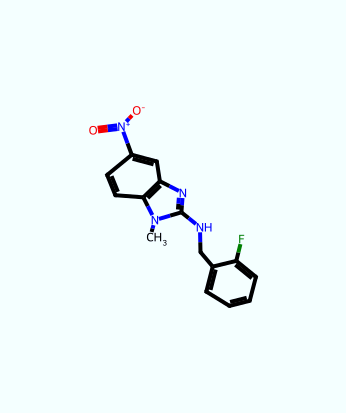 Cn1c(NCc2ccccc2F)nc2cc([N+](=O)[O-])ccc21